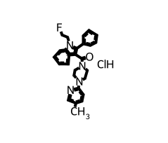 Cc1ccc(N2CCN(C(=O)c3c(-c4ccccc4)n(CCF)c4ccccc34)CC2)nc1.Cl